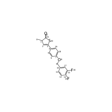 CC1C=C(c2ccc(OCc3ccc(F)c(F)c3)cc2)SC1=O